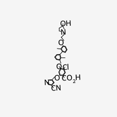 Cc1c(COc2cc(OCc3cncc(C#N)c3)c(C(=O)O)cc2Cl)cccc1-c1cccc(OCCCN2CCC(O)C2)c1C